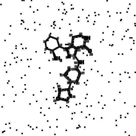 C[C@H]1CCCCC1n1nc(Nc2ccc(-c3ncon3)cc2)c2c(=O)[nH]ccc21